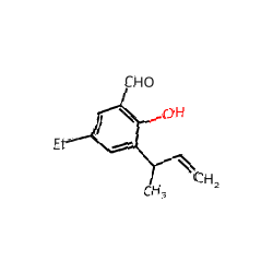 C=CC(C)c1cc(CC)cc(C=O)c1O